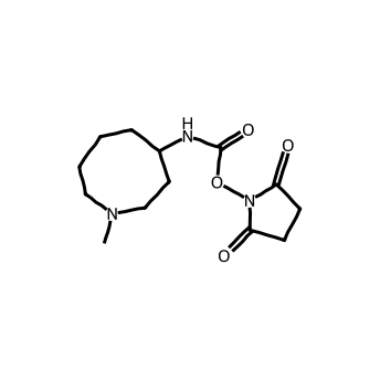 CN1CCCCC(NC(=O)ON2C(=O)CCC2=O)CC1